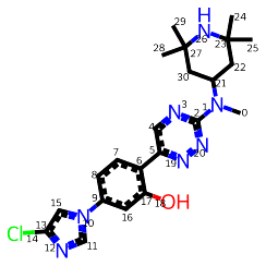 CN(c1ncc(-c2ccc(-n3cnc(Cl)c3)cc2O)nn1)C1CC(C)(C)NC(C)(C)C1